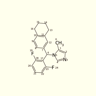 Cc1cncn1C(c1ccc2c(c1)CCCC2)c1c(F)cccc1F